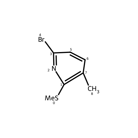 CSc1nc(Br)ccc1C